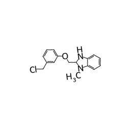 CN1c2ccccc2NC1COc1cccc(CCl)c1